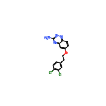 Nc1nnc2ccc(OCCc3ccc(Cl)c(Cl)c3)cc2n1